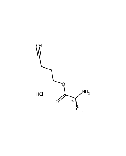 C#CCCCOC(=O)[C@H](C)N.Cl